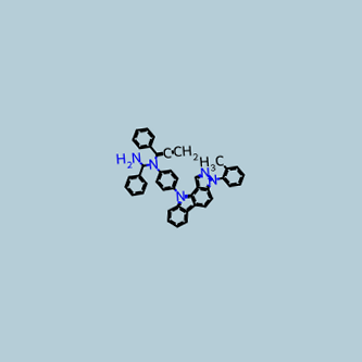 C=C=C(c1ccccc1)N(c1ccc(-n2c3ccccc3c3ccc4c(cnn4-c4ccccc4C)c32)cc1)C(N)c1ccccc1